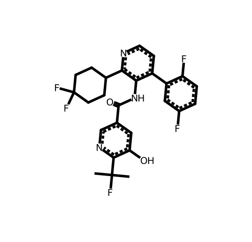 CC(C)(F)c1ncc(C(=O)Nc2c(-c3cc(F)ccc3F)ccnc2C2CCC(F)(F)CC2)cc1O